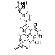 CC(Nc1nc(N2CC(C3CCCN(Cc4cc[nH]n4)C3)C2)cnc1C(=N)C#N)c1ccc(Cl)cc1Cl